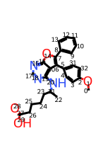 COc1ccc(-c2c(-c3ccccc3)oc3ncnc(NC(C)CCCCC(=O)O)c23)cc1